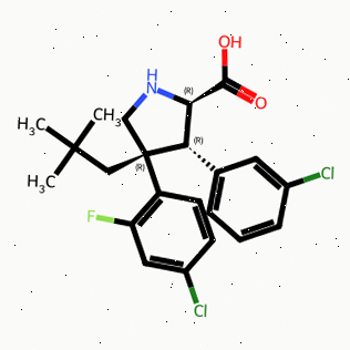 CC(C)(C)C[C@@]1(c2ccc(Cl)cc2F)CN[C@@H](C(=O)O)[C@@H]1c1cccc(Cl)c1